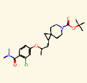 CC(CC1CC12CCN(C(=O)OC(C)(C)C)CC2)Oc1ccc(C(=O)N(C)C)c(Cl)c1